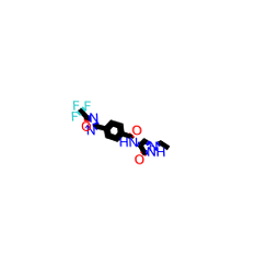 CCN1CC(NC(=O)c2ccc(-c3noc(C(F)(F)F)n3)cc2)C(=O)N1